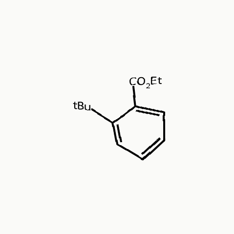 CCOC(=O)c1ccccc1C(C)(C)C